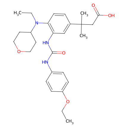 CCOc1ccc(NC(=O)Nc2cc(C(C)(C)CC(=O)O)ccc2N(CC)C2CCOCC2)cc1